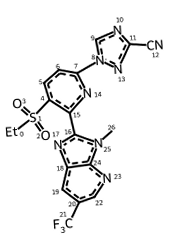 CCS(=O)(=O)c1ccc(-n2cnc(C#N)n2)nc1-c1nc2cc(C(F)(F)F)cnc2n1C